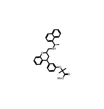 COC(=O)C(C)(C)Oc1cccc(C2CC(CN[C@H](C)c3cccc4ccccc34)Oc3ccccc32)c1